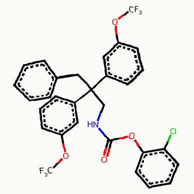 O=C(NCC(Cc1ccccc1)(c1cccc(OC(F)(F)F)c1)c1cccc(OC(F)(F)F)c1)Oc1ccccc1Cl